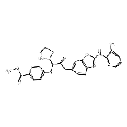 COC(=O)c1ccc(OC(C(=O)Cc2ccc3nc(Nc4ccccc4C)oc3c2)C2NCCS2)cc1